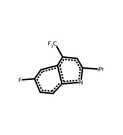 CC(C)c1cc(C(F)(F)F)c2cc(F)ccc2n1